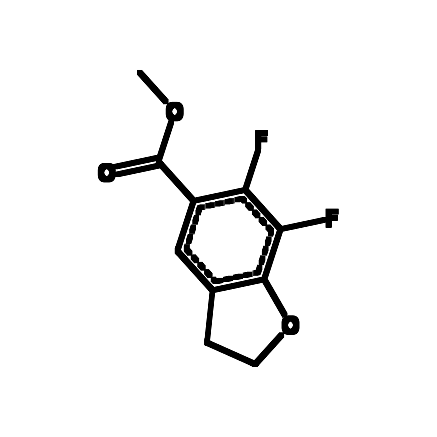 COC(=O)c1cc2c(c(F)c1F)OCC2